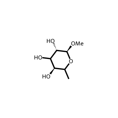 CO[C@H]1OC(C)[C@@H](O)C(O)[C@@H]1O